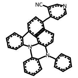 N#Cc1cnccc1-c1ccc(-c2ccccc2N2c3ccccc3N(c3ccccc3)c3ccccc32)cc1